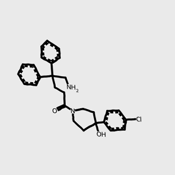 NCC(CCC(=O)N1CCC(O)(c2ccc(Cl)cc2)CC1)(c1ccccc1)c1ccccc1